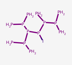 PP(P)P(P)P(I)P(P(P)P)P(P)P